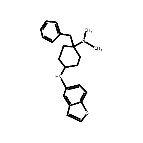 CN(C)C1(Cc2ccccc2)CCC(Nc2ccc3sccc3c2)CC1